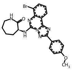 COc1ccc(-c2nc3c4cccc(Br)c4nc(N[C@H]4CCCCNC4=O)n3n2)cc1